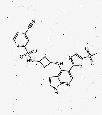 CS(=O)(=O)c1cnc(-c2cnc3[nH]ccc3c2NC2CC(NS(=O)(=O)c3cc(C#N)ccn3)C2)s1